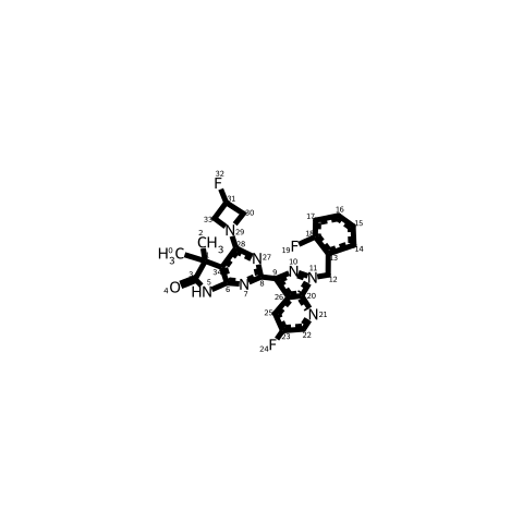 CC1(C)C(=O)Nc2nc(-c3nn(Cc4ccccc4F)c4ncc(F)cc34)nc(N3CC(F)C3)c21